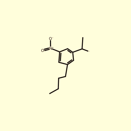 [CH2]C(C)c1cc(CCCC)cc([N+](=O)[O-])c1